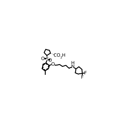 Cc1ccc(S(=O)(=O)[C@H]2CCC[C@@H]2C(=O)O)c(OCCCCCNC2CCC(F)(F)CC2)c1